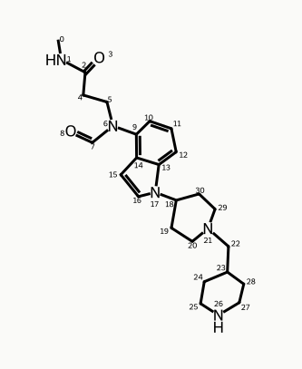 CNC(=O)CCN(C=O)c1cccc2c1ccn2C1CCN(CC2CCNCC2)CC1